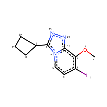 COc1c(I)ccn2c(C3CCC3)nnc12